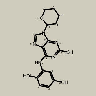 Oc1ccc(O)c(Nc2nc(S)nc3c2ncn3C2CCCCO2)c1